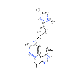 COc1ncnc(C2CC2)c1-c1cc(NCc2ccc(-c3nc(C(F)(F)F)cn3C(C)C)cc2)c(C#N)nn1